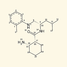 Cc1ccccc1NC[C@H](CC(C)C)NC(=O)[C@@H]1CCCC[C@@H]1N